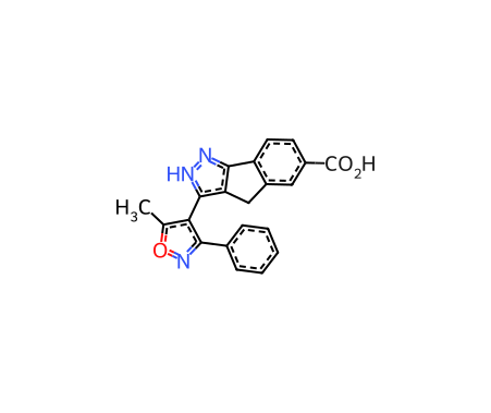 Cc1onc(-c2ccccc2)c1-c1[nH]nc2c1Cc1cc(C(=O)O)ccc1-2